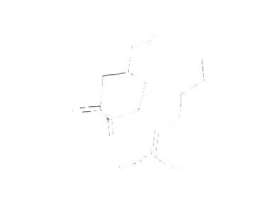 C=CC1CCC(=O)C(=O)C1.CCCCC=C(O)O